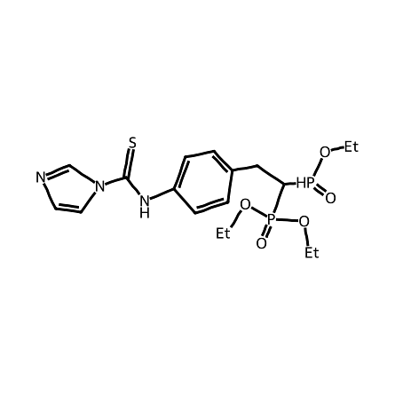 CCO[PH](=O)C(Cc1ccc(NC(=S)n2ccnc2)cc1)P(=O)(OCC)OCC